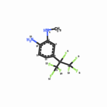 CNc1cc(C(F)(C(F)(F)F)C(F)(F)F)ccc1N